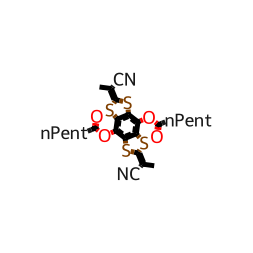 CCCCCC(=O)Oc1c2c(c(OC(=O)CCCCC)c3c1SC(=C(C)C#N)S3)SC(=C(C)C#N)S2